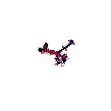 Cc1ncsc1-c1ccc([C@H](C)NC(=O)[C@@H]2C[C@@H](O)CN2C(=O)[C@@H](c2cc(OCCN3CCN(CCOc4cc(N5C6CCC5CN(c5cc(-c7ccccc7O)nnc5NC(=O)OCc5ccc(NC(=O)[C@H](CCCNC(N)=O)NC(=O)CCCCCC(=O)NCCCCCN7C(=O)C=CC7=O)cc5)C6)ccn4)[C@H](C)C3)no2)C(C)C)cc1